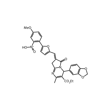 CCOC(=O)C1=C(C)N=C2C/C(=C\c3ccc(-c4ccc(OC)cc4[N+](=O)O)o3)C(=O)N2C1c1ccc2c(c1)OCO2